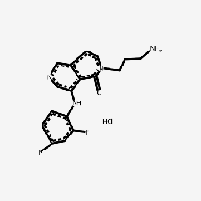 Cl.NCCCn1ccc2cncc(Nc3ccc(I)cc3F)c2c1=O